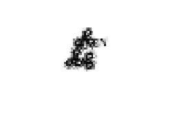 N#Cc1ccc2c(c1)c1ccccc1n2-c1cccc(-c2ccc(-n3c4ccccc4c4ccc(-n5c6ccccc6c6ccccc65)cc43)cc2)c1C#N